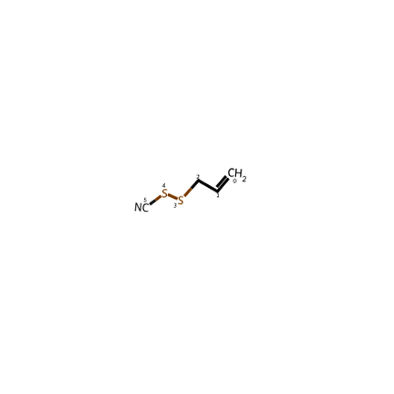 C=CCSSC#N